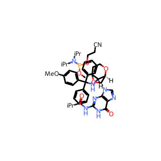 COc1ccc(C(N[C@H]2[C@H]3OCC[C@]2(COP(OCCC#N)N(C(C)C)C(C)C)O[C@H]3n2cnc3c(=O)[nH]c(NC(=O)C(C)C)nc32)(c2ccccc2)c2ccccc2)cc1